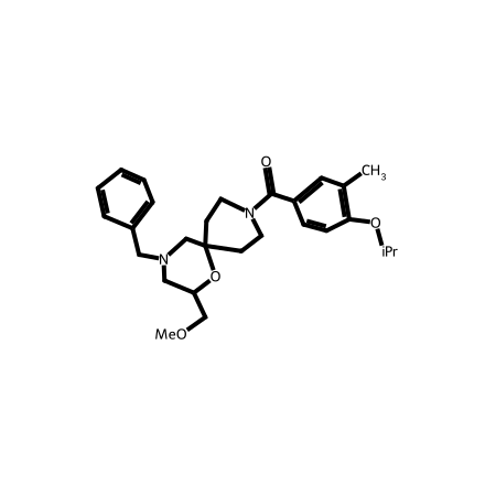 COCC1CN(Cc2ccccc2)CC2(CCN(C(=O)c3ccc(OC(C)C)c(C)c3)CC2)O1